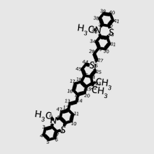 CN1c2ccccc2Sc2ccc(/C=C/c3ccc4c(c3)C(C)(C)c3c[si](/C=C/c5ccc6c(c5)N(C)c5ccccc5S6)ccc3-4)cc21